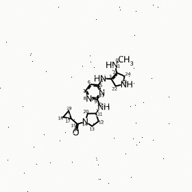 CNC1=C(Nc2ccnc(N[C@H]3CCN(C(=O)C4CC4)C3)n2)CNC1